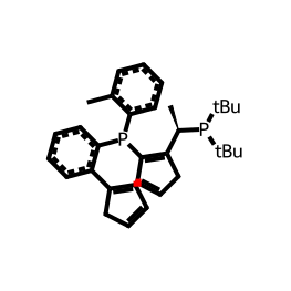 Cc1ccccc1P(C1=C([C@@H](C)P(C(C)(C)C)C(C)(C)C)CC=C1)c1ccccc1C1=CC=CC1